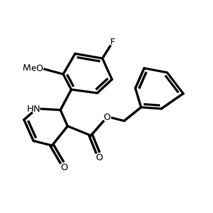 COc1cc(F)ccc1C1NC=CC(=O)C1C(=O)OCc1ccccc1